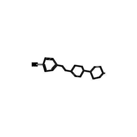 N#Cc1ccc(CCC2CCC(C3CC[CH]CC3)CC2)cc1